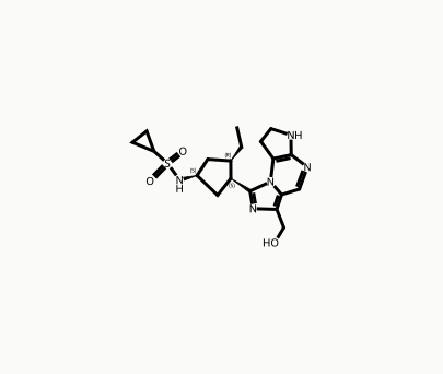 CC[C@@H]1C[C@H](NS(=O)(=O)C2CC2)C[C@@H]1c1nc(CO)c2cnc3c(n12)CCN3